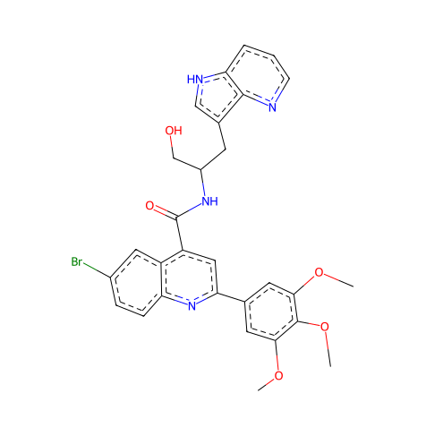 COc1cc(-c2cc(C(=O)NC(CO)Cc3c[nH]c4cccnc34)c3cc(Br)ccc3n2)cc(OC)c1OC